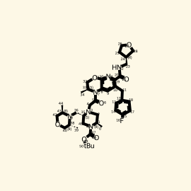 C[C@@H]1CN(CC(=O)N2c3cc(Cc4ccc(F)cc4)c(C(=O)NC[C@H]4CCOC4)nc3OC[C@@H]2C)[C@@H](CN2[C@H](C)COC[C@H]2C)CN1C(=O)OC(C)(C)C